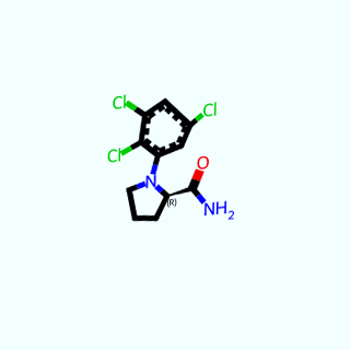 NC(=O)[C@H]1CCCN1c1cc(Cl)cc(Cl)c1Cl